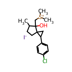 CC1CCC2(CC2c2ccc(Cl)cc2)C1(O)C[S+](C)C.[I-]